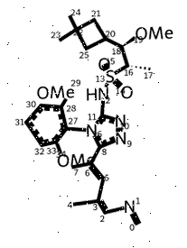 C=N/C=C(C)\C=C(/C)c1nnc(NS(=O)(=O)[C@@H](C)[C@H](OC)C2CC(C)(C)C2)n1-c1c(OC)cccc1OC